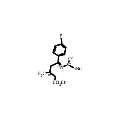 CCCC[S+]([O-])/N=C(/C[C@@H](CC(=O)OCC)C(F)(F)F)c1ccc(F)cc1